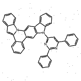 c1ccc(-c2cc(-n3c4ccccc4c4cc5c(cc43)c3ccccc3c3cc4ccccc4n35)nc(-c3ccccc3)n2)cc1